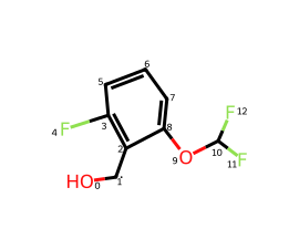 O[CH]c1c(F)cccc1OC(F)F